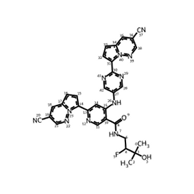 CC(C)(O)C(F)CNC(=O)c1cnc(-c2ccc3cc(C#N)cnn23)cc1Nc1cnc(-c2ccc3cc(C#N)cnn23)nc1